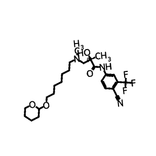 CN(CCCCCCCOC1CCCCO1)C[C@](C)(O)C(=O)Nc1ccc(C#N)c(C(F)(F)F)c1